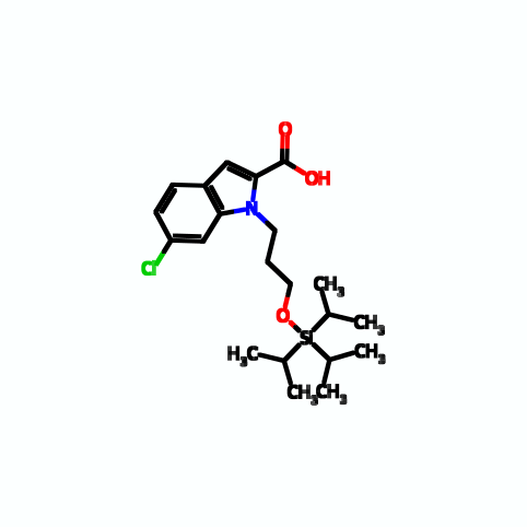 CC(C)[Si](OCCCn1c(C(=O)O)cc2ccc(Cl)cc21)(C(C)C)C(C)C